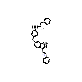 O=C(Cc1ccccc1)Nc1ccc(Sc2ccc3c(/C=C/c4ccccn4)n[nH]c3c2)cc1